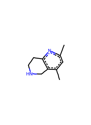 Cc1cc(C)c2c(n1)CCNC2